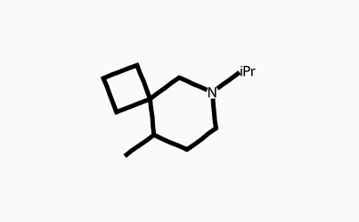 CC(C)N1CCC(C)C2(CCC2)C1